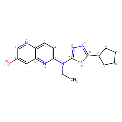 CCN(c1ccc2ncc(O)cc2n1)c1nnc(C2CCCC2)s1